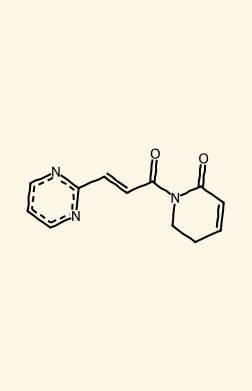 O=C1C=CCCN1C(=O)C=Cc1ncccn1